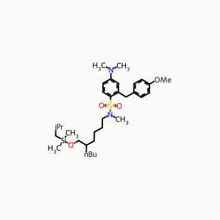 CCCCC(CCCCN(C)S(=O)(=O)c1ccc(N(C)C)cc1Cc1ccc(OC)cc1)CO[Si](C)(C)CC(C)C